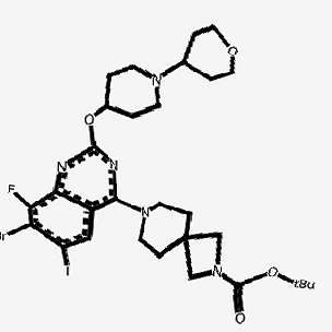 CC(C)(C)OC(=O)N1CC2(CCN(c3nc(OC4CCN(C5CCOCC5)CC4)nc4c(F)c(Br)c(I)cc34)CC2)C1